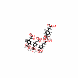 CO[Si](OC)(OC)c1ccc(CCC(=O)O)cc1.CO[Si](OC)(OC)c1ccc(CCC(=O)O)cc1.CO[Si](OC)(OC)c1ccc(CCC(=O)O)cc1.CO[Si](OC)(OC)c1ccc(CCC(=O)O)cc1.[SiH4]